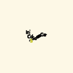 [Cd].[Ga]=[Se].[In].[S]